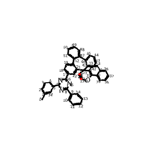 Cc1cccc(-c2nc(-c3ccccc3)nc(-c3ccc4c(c3)C3(c5ccccc5Oc5c3ccc3ccccc53)c3ccccc3-c3ccccc3-4)n2)c1